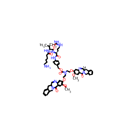 COc1cc2c(cc1OCCN(CCOc1cc3c(cc1OC)C(=O)N1Cc4ccccc4C[C@H]1C=N3)C(=O)OCc1ccc(NC(=O)[C@H](CCCNC(N)=O)NC(=O)[C@@H](NC(=O)CCCCCN)C(C)C)cc1)N=CC1Cc3ccccc3CN1C2=O